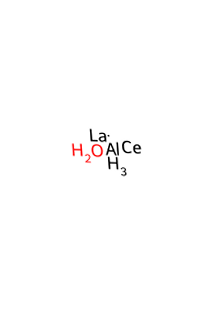 O.[AlH3].[Ce].[La]